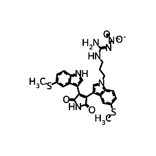 CSc1ccc2[nH]cc(C3=C(c4cn(CCCNC(N)=N[N+](=O)[O-])c5ccc(SC)cc45)C(=O)NC3=O)c2c1